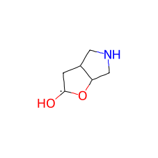 O[C]1CC2CNCC2O1